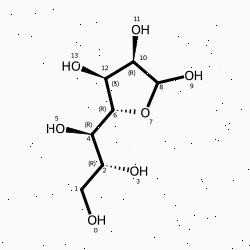 OC[C@@H](O)[C@@H](O)[C@H]1OC(O)[C@H](O)[C@@H]1O